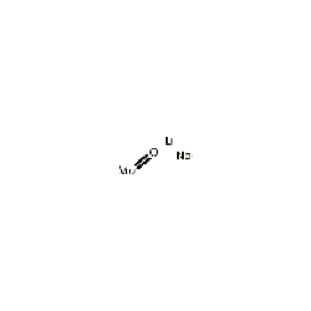 [Li].[Nb].[O]=[Mo]